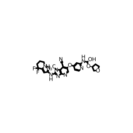 Cn1c(Nc2cc3n(n2)CCCC3(F)F)nc2ncc(Oc3ccnc(NC(O)O[C@H]4CCOC4)c3)c(C#N)c21